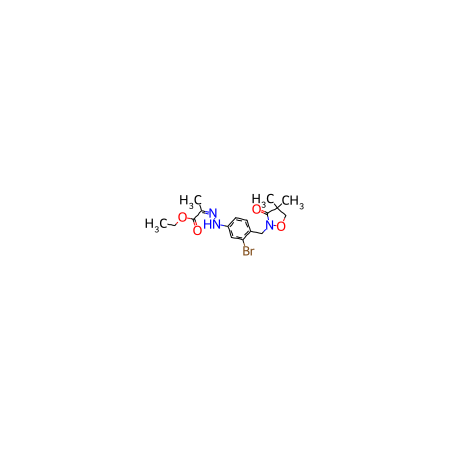 CCOC(=O)C(C)=NNc1ccc(CN2OCC(C)(C)C2=O)c(Br)c1